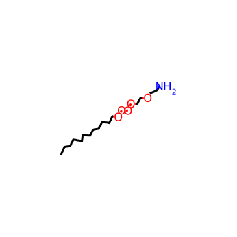 CCCCCCCCCCCCOOOOCCOCCN